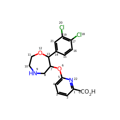 O=C(O)c1cccc(OC2CNCCOC2c2ccc(Cl)c(Cl)c2)n1